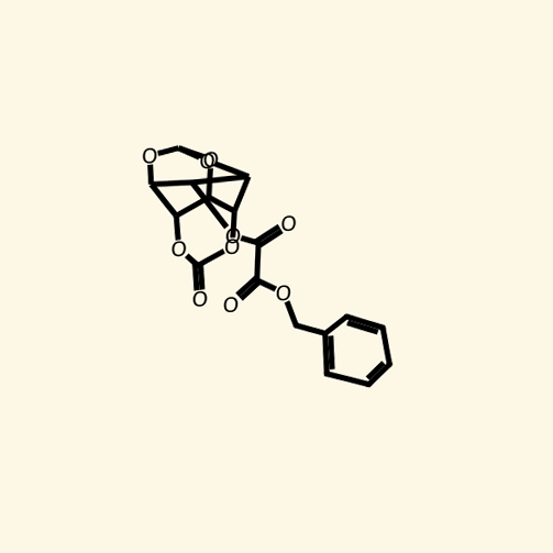 O=C1OC2C3OC4OC2C(OC(=O)C(=O)OCc2ccccc2)C(O4)C3O1